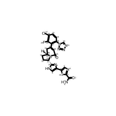 NC(=O)c1ncc(-c2c[nH]c([C@@H]3CC[C@@H]4CC(c5c(-n6cnnn6)ccc(Cl)c5F)=CC(=O)N43)n2)s1